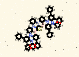 c1ccc(-c2cc3c4c(c2)N(c2ccccc2)c2c(-c5ccccc5)cc(-c5ccccc5)cc2N4c2cccc4c2B3c2sc3c5c2N4c2ccccc2N5c2cccc4c2B3c2ccc(-c3ccccc3)c3c2N4c2cc(-c4ccccc4)cc(-c4ccccc4)c2N3c2ccccc2)cc1